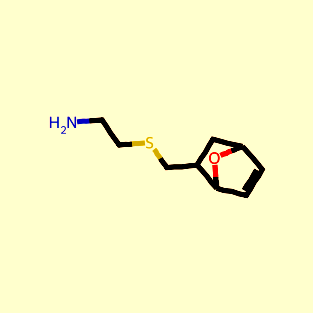 NCCSCC1CC2C=CC1O2